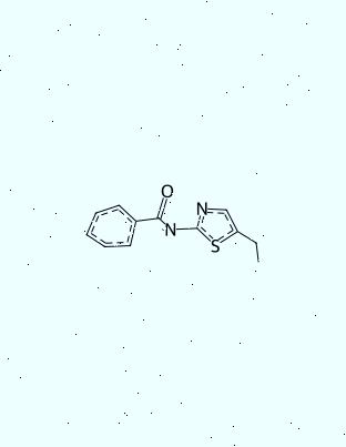 CCc1cnc([N]C(=O)c2ccccc2)s1